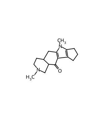 CN1CCC2Cc3c(c4c(n3C)CCC4)C(=O)C2C1